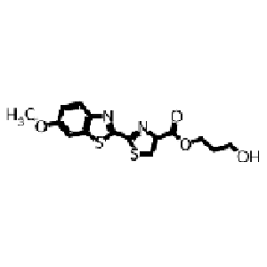 COc1ccc2nc(C3=NC(C(=O)OCCCO)CS3)sc2c1